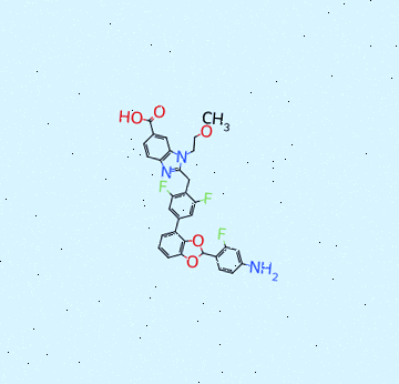 COCCn1c(Cc2c(F)cc(-c3cccc4c3OC(c3ccc(N)cc3F)O4)cc2F)nc2ccc(C(=O)O)cc21